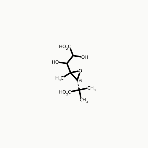 CC(C)(C(=O)O)[C@H]1OC1(C)C(O)C(O)C(=O)O